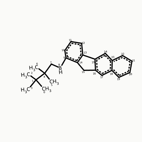 CC(C)(C)C(C)(C)CBc1cccc2c1Cc1cc3ccccc3cc1-2